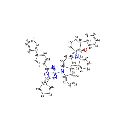 c1ccc(-c2ccc(-c3nc(-c4ccccc4)nc(-n4c5ccccc5c5c6c7ccccc7n(-c7cccc8c7oc7ccccc78)c6ccc54)n3)cc2)cc1